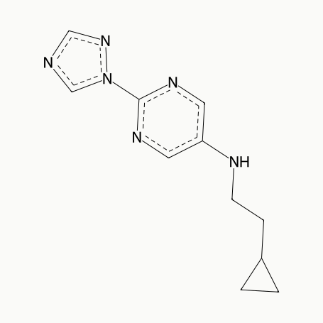 c1ncn(-c2ncc(NCCC3CC3)cn2)n1